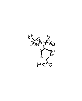 O=C(O)C1CCC(C2(c3ncc(Br)s3)CO2)CC1